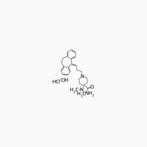 CN(C)C1(C(N)=O)CCN(CCC=C2c3ccccc3CCc3ccccc32)CC1.Cl.Cl